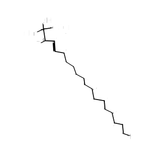 CCCC(O)(C(=O)O)C(F)C=CCCCCCCCCCCCCCCF